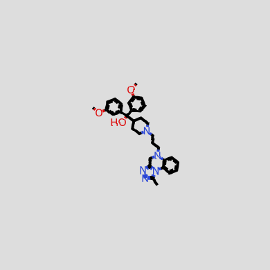 COc1cccc(C(O)(c2cccc(OC)c2)C2CCN(CCCN3Cc4nnc(C)n4-c4ccccc43)CC2)c1